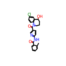 Cc1ccccc1C(=O)Nc1ccc(C(=O)N2CCCC(O)c3cc(Cl)ccc32)cn1